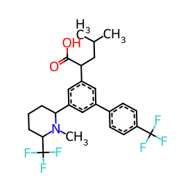 CC(C)CC(C(=O)O)c1cc(-c2ccc(C(F)(F)F)cc2)cc(C2CCCC(C(F)(F)F)N2C)c1